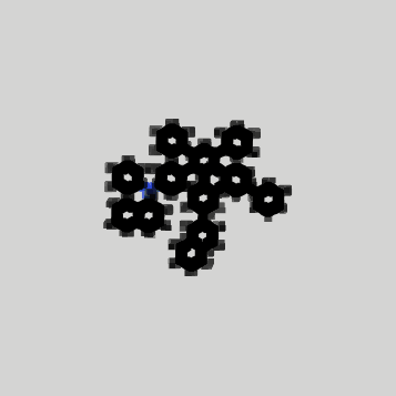 c1ccc(-c2ccc3c(c2)c2cc(-c4ccc5ccccc5c4)ccc2c2c(-c4ccc(N(c5ccccc5)c5cccc6ccccc56)cc4)c(-c4ccccc4)cc(-c4ccccc4)c32)cc1